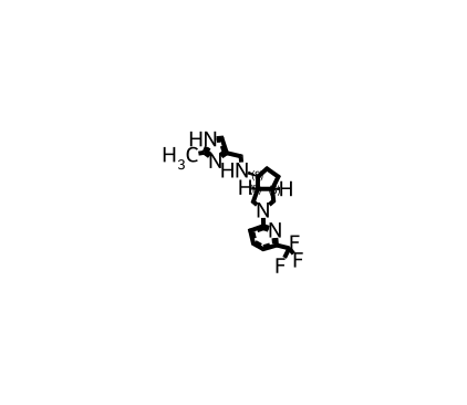 Cc1nc(CN[C@H]2CC[C@@H]3CN(c4cccc(C(F)(F)F)n4)C[C@@H]32)c[nH]1